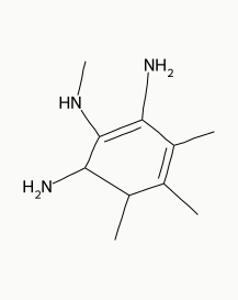 CNC1=C(N)C(C)=C(C)C(C)C1N